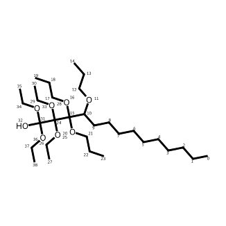 CCCCCCCCCCC(OCCC)C(OCCC)(OCCC)C(OCC)(OCC)C(O)(OCC)OCC